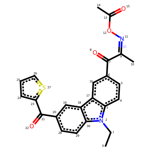 CCn1c2ccc(C(=O)/C(C)=N\OC(C)=O)cc2c2cc(C(=O)c3cccs3)ccc21